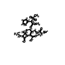 CO[C@@H]1C(=O)N2C(C(=O)[O-])=C(COC(C)=O)CS[C@@H]12.CS(=O)(=O)C(C(N)=O)c1cccs1.[Na+]